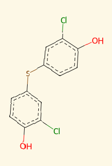 Oc1ccc(Sc2ccc(O)c(Cl)c2)cc1Cl